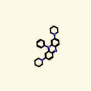 c1ccc(-[n+]2c3cc(N4CCCCC4)ccc3nc3ccc(N4CCCCC4)cc32)cc1